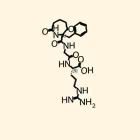 N=C(N)NCCC[C@H](NC(=O)CNC(=O)[C@]1(Cc2ccccc2)NC(=O)CCCC1=O)C(=O)O